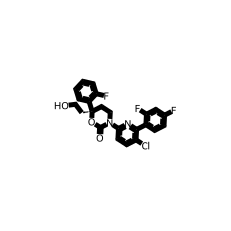 O=C1O[C@@](CCO)(c2ccccc2F)CCN1c1ccc(Cl)c(-c2ccc(F)cc2F)n1